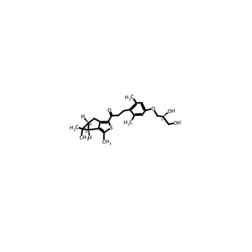 Cc1cc(OC[C@@H](O)CO)cc(C)c1CCC(=O)c1sc(C)c2c1C[C@@H]1[C@H]2C1(C)C